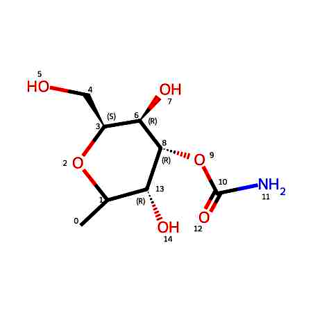 CC1O[C@@H](CO)[C@@H](O)[C@H](OC(N)=O)[C@@H]1O